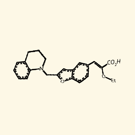 CCOC(=Cc1ccc2oc(CN3CCCc4ccccc43)cc2c1)C(=O)O